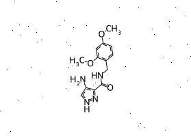 COc1ccc(CNC(=O)c2n[nH]cc2N)c(OC)c1